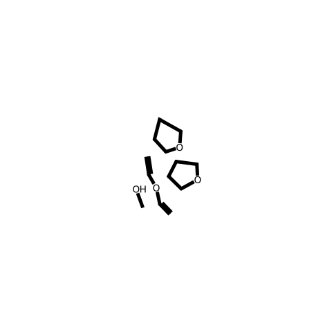 C1CCOC1.C1CCOC1.C=COC=C.CO